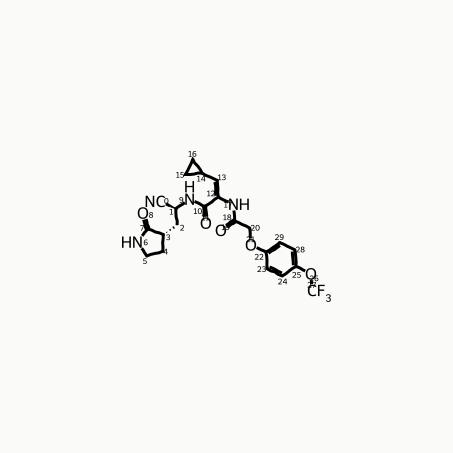 N#C[C@H](C[C@@H]1CCNC1=O)NC(=O)C(=CC1CC1)NC(=O)COc1ccc(OC(F)(F)F)cc1